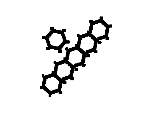 c1ccc2cc3cc4cc5ccccc5cc4cc3cc2c1.c1ccccc1